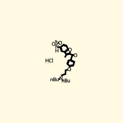 CCCCN(CCCC)CCCOc1ccc(C(=O)c2oc3ccc(NS(C)(=O)=O)cc3c2C)cc1.Cl